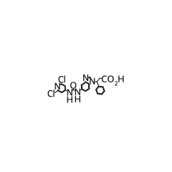 O=C(O)CC(c1ccccc1)n1cnc2cc(NC(=O)Nc3cc(Cl)nc(Cl)c3)ccc21